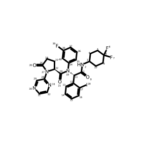 O=C(NC1CCC(F)(F)CC1)[C@H](c1ccccc1I)N(C(=O)[C@@H]1CCC(=O)N1c1cnccn1)c1cccc(F)c1